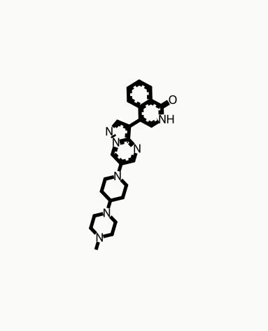 CN1CCN(C2CCN(c3cnc4c(-c5c[nH]c(=O)c6ccccc56)cnn4c3)CC2)CC1